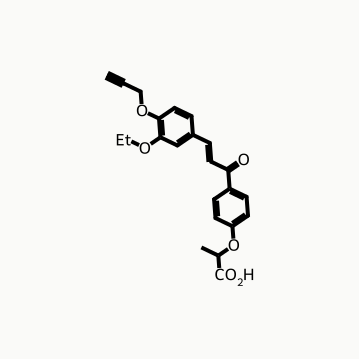 C#CCOc1ccc(/C=C/C(=O)c2ccc(OC(C)C(=O)O)cc2)cc1OCC